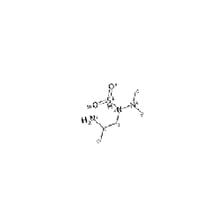 CC(N)CN(N(C)C)[SH](=O)=O